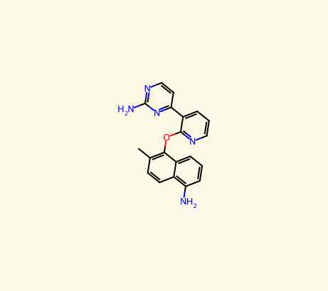 Cc1ccc2c(N)cccc2c1Oc1ncccc1-c1ccnc(N)n1